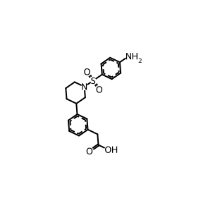 Nc1ccc(S(=O)(=O)N2CCCC(c3cccc(CC(=O)O)c3)C2)cc1